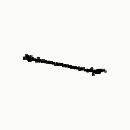 Nc1ccc(CCNC(=O)CCOCCOCCOCCOCCOCCOCCOCCOCCOCCOCCOCCOCCNC(=O)CCCCC2SCC3NC(=O)NC32)cc1